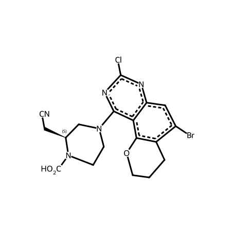 N#CC[C@H]1CN(c2nc(Cl)nc3cc(Br)c4c(c23)OCCC4)CCN1C(=O)O